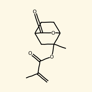 C=C(C)C(=O)OC1(C)CC2CCC1OC2=O